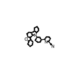 N#Cc1cccc(-c2cccc(-n3c4ccccc4c4ccc5oc6ccccc6c5c43)c2)n1